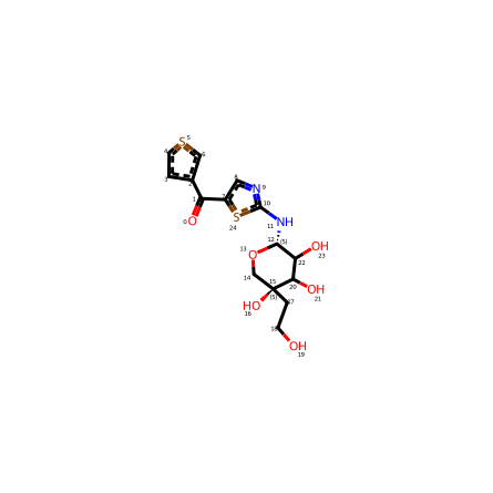 O=C(c1ccsc1)c1cnc(N[C@H]2OC[C@@](O)(CCO)C(O)C2O)s1